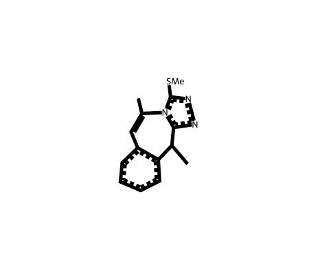 CSc1nnc2n1C(C)=Cc1ccccc1C2C